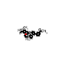 COc1cc(CC(=O)N(Nc2ccc(-c3cccc(C(C)=O)c3)cc2)c2ccccc2N2CCCCC2)c(Cl)cc1C(=O)O.Cl